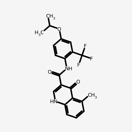 Cc1cccc2[nH]cc(C(=O)Nc3ccc(OC(C)C)cc3C(F)(F)F)c(=O)c12